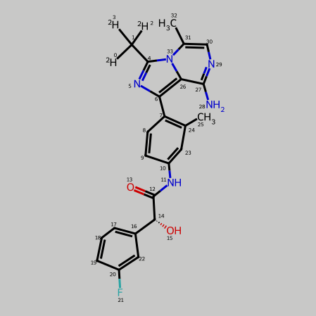 [2H]C([2H])([2H])c1nc(-c2ccc(NC(=O)[C@H](O)c3cccc(F)c3)cc2C)c2c(N)ncc(C)n12